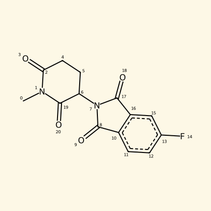 CN1C(=O)CCC(N2C(=O)c3ccc(F)cc3C2=O)C1=O